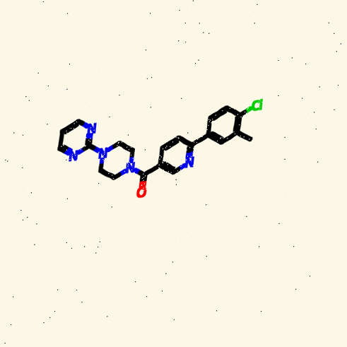 Cc1cc(-c2ccc(C(=O)N3CCN(c4ncccn4)CC3)cn2)ccc1Cl